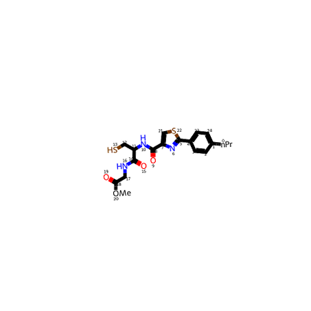 CCCc1ccc(-c2nc(C(=O)NC(CS)C(=O)NCC(=O)OC)cs2)cc1